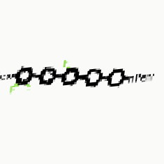 CCCCCCc1ccc(-c2ccc(-c3ccc(C4=CCC(C5CCC(CCCCC)CC5)CC4)cc3F)cc2)c(F)c1F